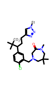 CCn1cc(CCC(c2ccc(Cl)c(CN3CC(=O)N(C)CC(C)(C)C3)c2)C(C)(C)C(=O)O)nn1